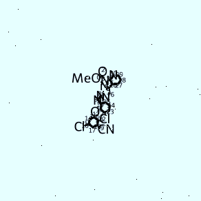 COC(=O)n1nc(Cn2nnc3c(Oc4cc(Cl)cc(C#N)c4)c(Cl)ccc32)c2cccnc21